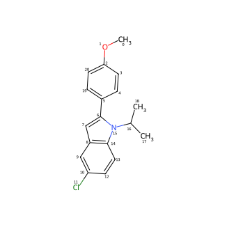 COc1ccc(-c2cc3cc(Cl)ccc3n2C(C)C)cc1